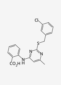 Cc1cc(Nc2ccccc2C(=O)O)nc(SCc2cccc(Cl)c2)n1